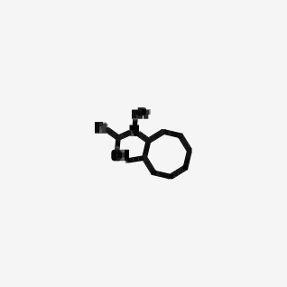 CCCN(C(O)CC)C1CCCCCCC1C